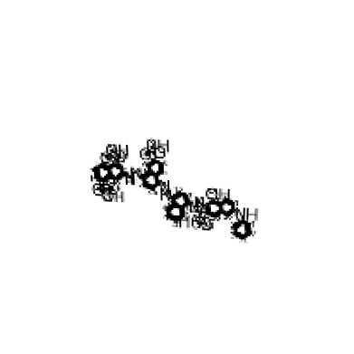 O=S(=O)(O)c1ccc2c(N=Nc3ccc(N=Nc4c(S(=O)(=O)O)cc5cc(Nc6ccccc6)ccc5c4O)c4ccccc34)ccc(N=Nc3cc(S(=O)(=O)O)c4cccc(S(=O)(=O)O)c4c3)c2c1